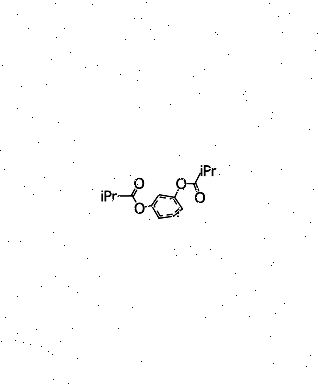 CC(C)C(=O)Oc1c[c]cc(OC(=O)C(C)C)c1